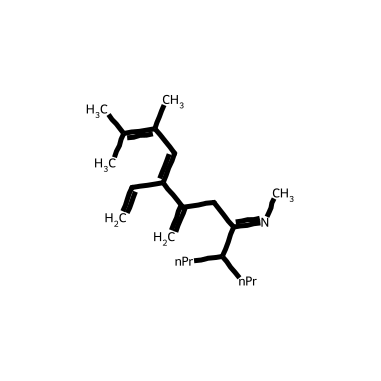 C=C/C(=C\C(C)=C(C)C)C(=C)C/C(=N\C)C(CCC)CCC